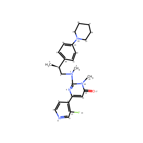 C[C@H](CN(C)c1nc(-c2ccncc2F)cc(=O)n1C)c1ccc(N2CCCCC2)cc1